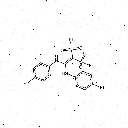 CCc1ccc(NC(Nc2ccc(CC)cc2)=C(S(=O)(=O)CC)S(=O)(=O)CC)cc1